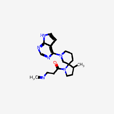 C=NCCC(=O)N1CCC(C)C12CCCN(c1ncnc3[nH]ccc13)C2